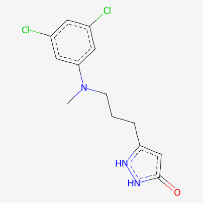 CN(CCCc1cc(=O)[nH][nH]1)c1cc(Cl)cc(Cl)c1